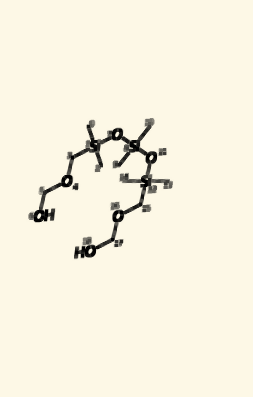 C[Si](C)(COCO)O[Si](C)(C)O[Si](C)(C)COCO